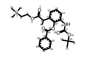 CC(C(=O)OCC[Si](C)(C)C)c1cccc(NC(=O)OC(C)(C)C)c1OC(=O)c1ccccc1